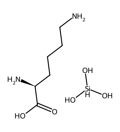 NCCCC[C@H](N)C(=O)O.O[SiH](O)O